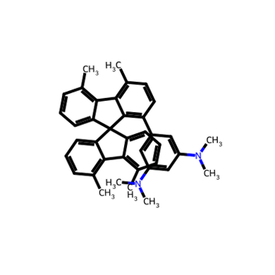 Cc1cccc2c1-c1c(C)cccc1C21c2cccc(C)c2-c2c(C)ccc(-c3cc(N(C)C)cc(N(C)C)c3)c21